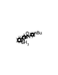 CCCCc1ccc(NC(=O)c2ccc(-c3ccccc3C)nc2)cc1